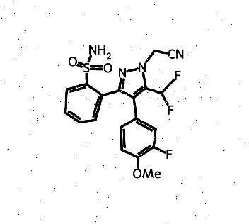 COc1ccc(-c2c(-c3ccccc3S(N)(=O)=O)nn(CC#N)c2C(F)F)cc1F